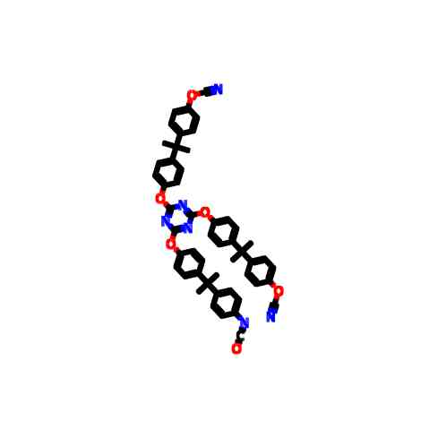 CC(C)(c1ccc(N=C=O)cc1)c1ccc(Oc2nc(Oc3ccc(C(C)(C)c4ccc(OC#N)cc4)cc3)nc(Oc3ccc(C(C)(C)c4ccc(OC#N)cc4)cc3)n2)cc1